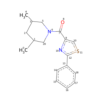 CC1CC(C)CN(C(=O)c2csc(-c3ccccc3)n2)C1